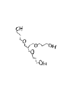 OCCCOCC(COCCCO)COCCCO